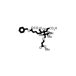 CC(C)(C)OC(=O)CCOCC(NCCCCC(=O)OCc1ccccc1)(C(O)(CCC(=O)O)CCC(=O)O)C(O)(C(C)(C)C)C(C)(C)C